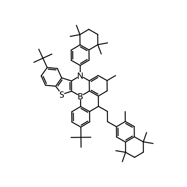 Cc1cc2c(cc1CCC1C3=C4B(c5ccc(C(C)(C)C)cc51)c1sc5ccc(C(C)(C)C)cc5c1N(c1ccc5c(c1)C(C)(C)CCC5(C)C)C4=CC(C)C3)C(C)(C)CCC2(C)C